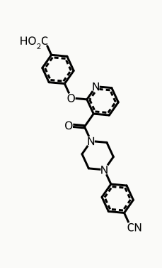 N#Cc1ccc(N2CCN(C(=O)c3cccnc3Oc3ccc(C(=O)O)cc3)CC2)cc1